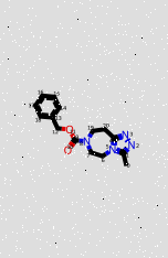 Cc1nnc2n1CCN(C(=O)OCc1ccccc1)CC2